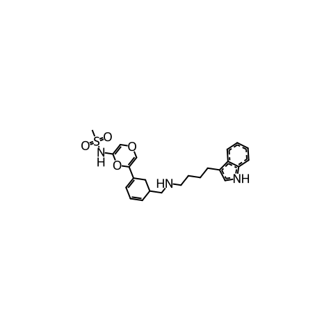 CS(=O)(=O)NC1=COC=C(C2=CC=CC(CNCCCCc3c[nH]c4ccccc34)C2)O1